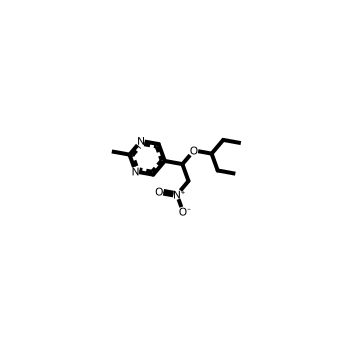 CCC(CC)OC(C[N+](=O)[O-])c1cnc(C)nc1